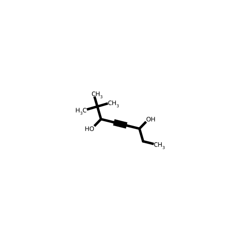 CCC(O)C#CC(O)C(C)(C)C